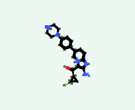 Nc1nc2ccc(-c3ccc(N4CCNCC4)cc3)cn2c1C(=O)[C@@H]1C[C@@H]1F